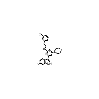 Fc1ccc2c(-c3cc(N4CCOCC4)nc(NCCc4cccc(Cl)c4)n3)c[nH]c2c1